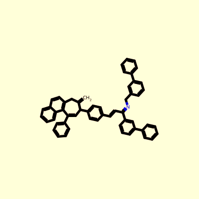 C=C1Cc2ccc3ccccc3c2C(c2ccccc2)=CC1c1ccc(/C=C/C(=N\Cc2cccc(-c3ccccc3)c2)c2cccc(-c3ccccc3)c2)cc1